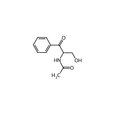 CC(=O)NC(CO)C(=O)c1ccccc1